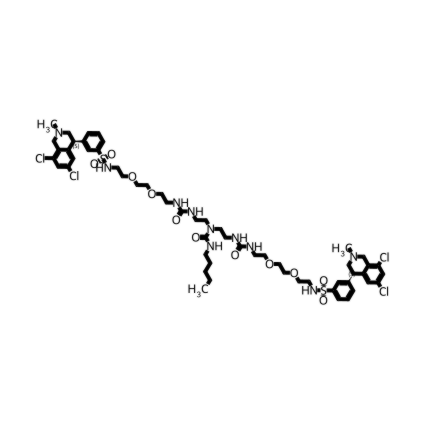 CCCCCNC(=O)N(CCNC(=O)NCCOCCOCCNS(=O)(=O)c1cccc([C@@H]2CN(C)Cc3c(Cl)cc(Cl)cc32)c1)CCNC(=O)NCCOCCOCCNS(=O)(=O)c1cccc([C@@H]2CN(C)Cc3c(Cl)cc(Cl)cc32)c1